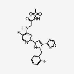 CS(=O)(=O)NC(=O)CNc1nc(-c2cc(-c3ccon3)n(Cc3ccccc3F)n2)ncc1F